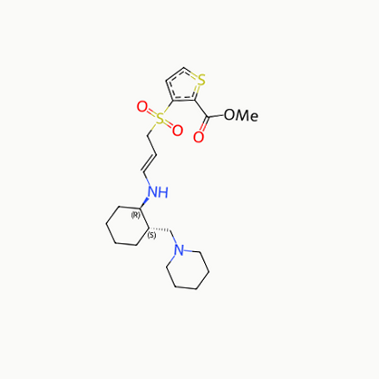 COC(=O)c1sccc1S(=O)(=O)CC=CN[C@@H]1CCCC[C@H]1CN1CCCCC1